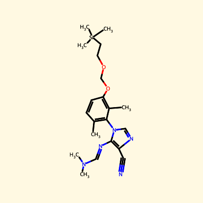 Cc1ccc(OCOCC[Si](C)(C)C)c(C)c1-n1cnc(C#N)c1/N=C/N(C)C